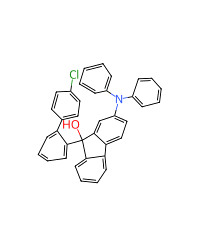 OC1(c2ccccc2-c2ccc(Cl)cc2)c2ccccc2-c2ccc(N(c3ccccc3)c3ccccc3)cc21